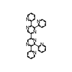 c1ccc(-c2ncc(-c3cnc(-c4ccccn4)c(-c4ccccn4)n3)nc2-c2ccccn2)nc1